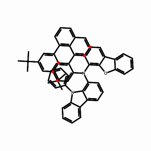 CC(C)(C)c1cc(-c2cccc3cccc(-c4ccccc4N(c4cccc5c4oc4ccccc45)c4cccc5c6ccccc6n(-c6ccccc6)c45)c23)cc(C(C)(C)C)c1